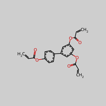 C=CC(=O)Oc1ccc(-c2cc(OC(=O)C=C)cc(OC(=O)C=C)c2)cc1